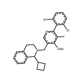 CCc1cccc(CC)c1-c1ncc(CN2CCc3ccccc3C2C2CCC2)c(OC)c1C